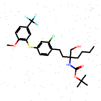 CCCCC(CO)(CCc1ccc(Sc2cc(C(F)(F)F)ccc2OC)cc1Cl)NC(=O)OC(C)(C)C